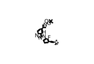 CC(C)(C)OC(=O)N1CC(c2ccc3ncnc(Nc4cccc(C#C[Si](C)(C)C)c4F)c3c2)C1